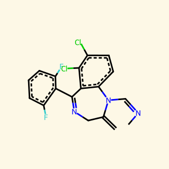 C=C1CN=C(c2c(F)cccc2F)c2c(ccc(Cl)c2Cl)N1/C=N\C